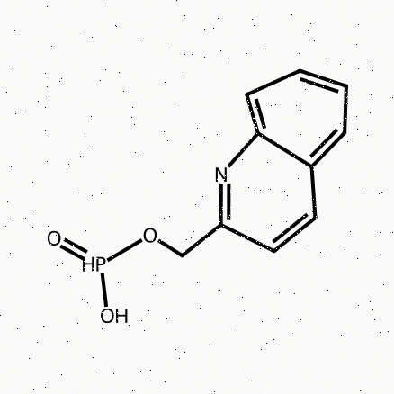 O=[PH](O)OCc1ccc2ccccc2n1